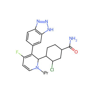 CC(C)N1C=CC(F)=C(c2ccc3nn[nH]c3c2)C1C1CCC(C(N)=O)CC1Cl